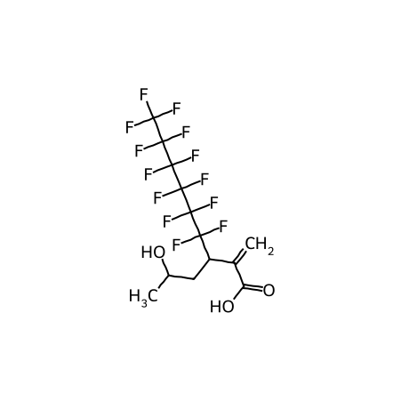 C=C(C(=O)O)C(CC(C)O)C(F)(F)C(F)(F)C(F)(F)C(F)(F)C(F)(F)C(F)(F)F